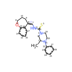 CC1CN(C(=S)N/C=C2/CCCOc3ccccc32)CCN1c1ccccc1